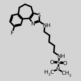 CN(C)S(=O)(=O)NCCCCCNc1nc2c(s1)CCCc1ccc(F)cc1-2